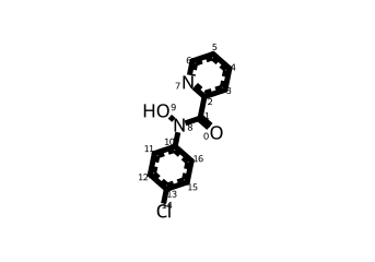 O=C(c1ccccn1)N(O)c1ccc(Cl)cc1